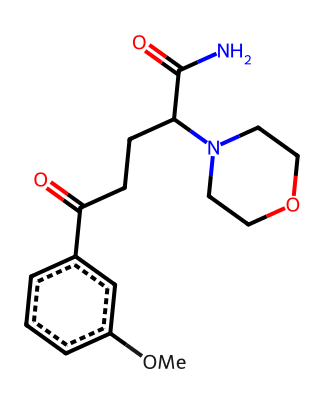 COc1cccc(C(=O)CCC(C(N)=O)N2CCOCC2)c1